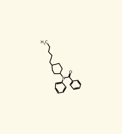 CCCCCC1CCC(N(C(=O)c2ccccc2)c2cc[c]cc2)CC1